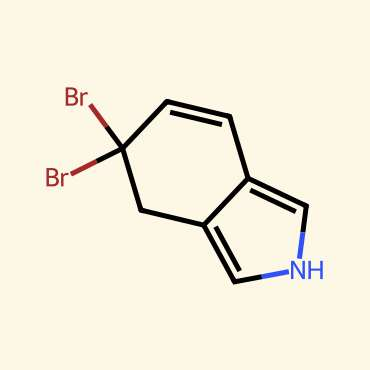 BrC1(Br)C=Cc2c[nH]cc2C1